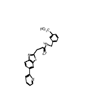 O=C(Cc1nc2ccc(-c3ccccn3)cc2s1)NCc1cccc(C(=O)O)c1